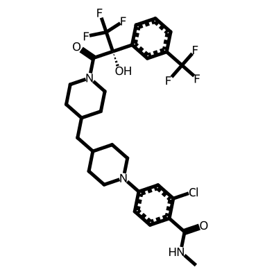 CNC(=O)c1ccc(N2CCC(CC3CCN(C(=O)[C@](O)(c4cccc(C(F)(F)F)c4)C(F)(F)F)CC3)CC2)cc1Cl